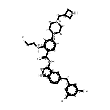 O=C(Nc1n[nH]c2ccc(Cc3cc(F)cc(F)c3)cc12)c1ccc(N2CCN(CC3CNC3)CC2)cc1NCCF